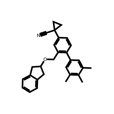 Cc1cc(-c2ccc(C3(C#N)CC3)cc2COC2Cc3ccccc3C2)cc(C)c1C